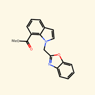 COC(=O)c1cccc2ccn(Cc3nc4ccccc4o3)c12